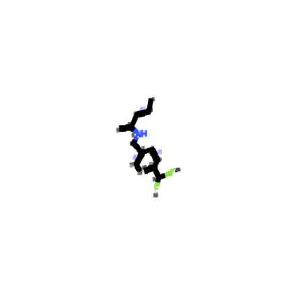 C=C(/C=C/C)NCC(/C=C\C(=C)C(F)F)=C/C